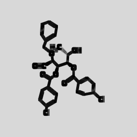 C[C@H](O)[C@@H](OC(=O)c1ccc(Cl)cc1)[C@@H](OC(=O)c1ccc(Cl)cc1)[C@@H](C=O)OCc1ccccc1